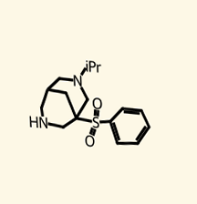 CC(C)N1CC2CNCC(S(=O)(=O)c3ccccc3)(C2)C1